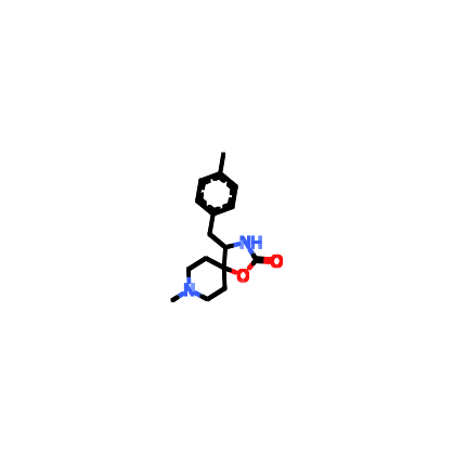 Cc1ccc(CC2NC(=O)OC23CCN(C)CC3)cc1